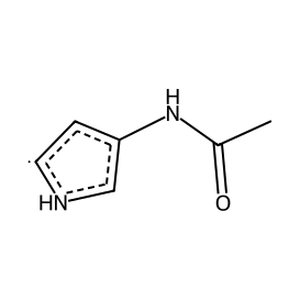 CC(=O)Nc1c[c][nH]c1